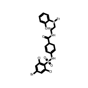 CCN(CCNC(=O)C1C=CC(NS(=O)(=O)c2c(Cl)cc(Br)cc2Cl)=CC1)c1ccccc1OC